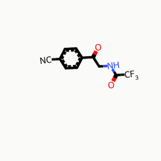 N#Cc1ccc(C(=O)CNC(=O)C(F)(F)F)cc1